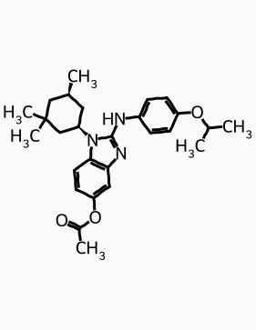 CC(=O)Oc1ccc2c(c1)nc(Nc1ccc(OC(C)C)cc1)n2[C@@H]1C[C@H](C)CC(C)(C)C1